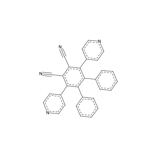 N#Cc1c(C#N)c(-c2ccncc2)c(-c2ccccc2)c(-c2ccccc2)c1-c1ccncc1